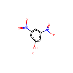 O=[N+]([O-])c1cc(O)cc([N+](=O)[O-])c1.[O]